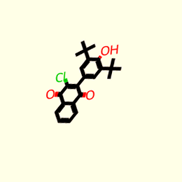 CC(C)(C)c1cc(C2=C(Cl)C(=O)c3ccccc3C2=O)cc(C(C)(C)C)c1O